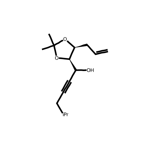 C=CC[C@@H]1OC(C)(C)O[C@@H]1C(O)C#CCC(C)C